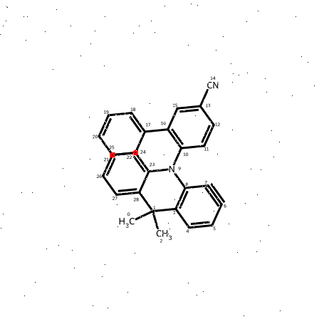 CC1(C)c2ccc#cc2N(c2ccc(C#N)cc2C2=CC=CCC2)c2ccccc21